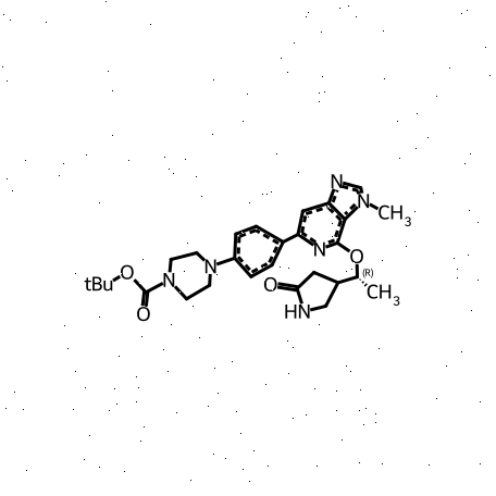 C[C@@H](Oc1nc(-c2ccc(N3CCN(C(=O)OC(C)(C)C)CC3)cc2)cc2ncn(C)c12)C1CNC(=O)C1